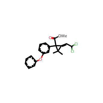 COC(=O)C1(c2cccc(Oc3ccccc3)c2)C(=CC(Cl)Cl)C1(C)C